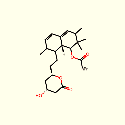 CCCC(=O)OC1[C@H]2C(=CC(C)C1(C)C)C=CC(C)C2CC[C@@H]1C[C@@H](O)CC(=O)O1